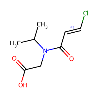 CC(C)N(CC(=O)O)C(=O)/C=C/Cl